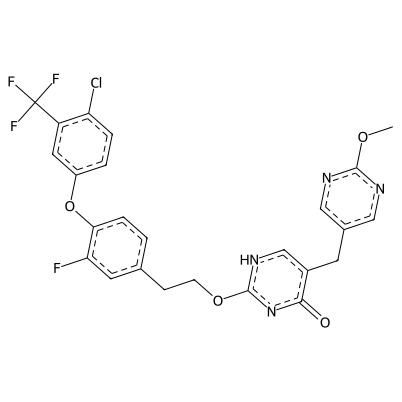 COc1ncc(Cc2c[nH]c(OCCc3ccc(Oc4ccc(Cl)c(C(F)(F)F)c4)c(F)c3)nc2=O)cn1